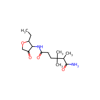 CCC1OCC(=O)C1NC(=O)[CH]CC(C)(C)C(C)C(N)=O